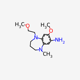 COCCN1CCCN(C)c2cc(N)c(OC)cc21